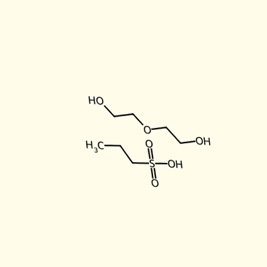 CCCS(=O)(=O)O.OCCOCCO